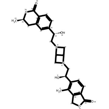 Cc1c([C@@H](O)CN2CC3C2CN3C[C@@H](O)c2ccc3c(c2)C[C@@H](C)OC3=O)ccc2c1COC2=O